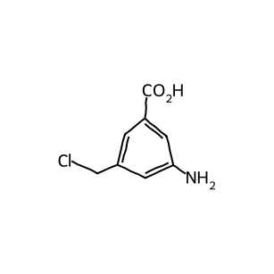 Nc1cc(CCl)cc(C(=O)O)c1